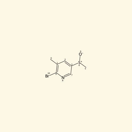 Cc1cc([S+](C)[O-])cnc1Br